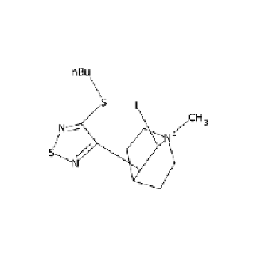 CCCCSc1nsnc1C1C2CC[N+](C)(CC2)C1I